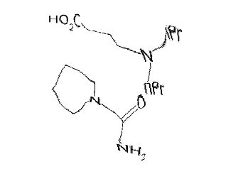 CCCN(CCC(=O)O)C(C)C.NC(=O)N1CCCC1